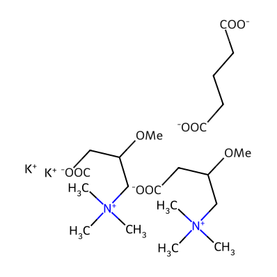 COC(CC(=O)[O-])C[N+](C)(C)C.COC(CC(=O)[O-])C[N+](C)(C)C.O=C([O-])CCCC(=O)[O-].[K+].[K+]